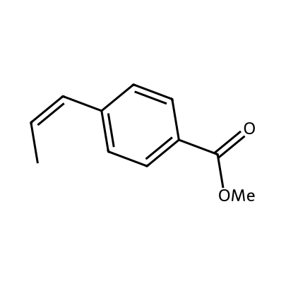 C/C=C\c1ccc(C(=O)OC)cc1